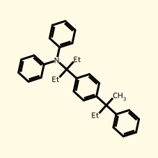 CCC(C)(c1ccccc1)c1ccc(C(CC)(CC)N(c2ccccc2)c2ccccc2)cc1